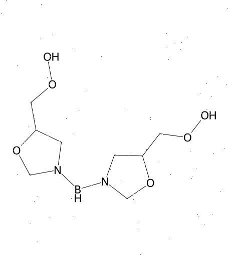 OOCC1CN(BN2COC(COO)C2)CO1